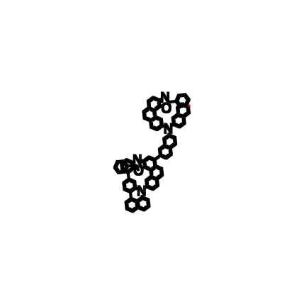 c1ccc(-c2ccc(-c3ccccc3)c(N(c3ccccc3)c3ccc4ccc5c(-c6ccc7ccc(N(c8ccc9ccccc9c8)c8ccc9ccc%10ccc%11nc(-c%12ccccc%12)oc%11c%10c9c8)cc7c6)cc6nc(-c7ccccc7)oc6c5c4c3)c2)cc1